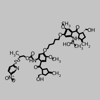 C=C1CC(C(=O)c2cc(OC)c(OCCCCCOc3cc(NC(=O)OC[C@@H](C)SSc4ccc([N+](=O)[O-])cn4)c(C(=O)C4CC(=C)C[C@H]4CO)cc3OC)cc2NB(C)O)[C@H](CO)C1